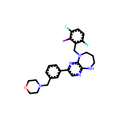 Fc1ccc(F)c(CN2CCCNc3ncc(-c4cccc(CN5CCOCC5)c4)nc32)c1I